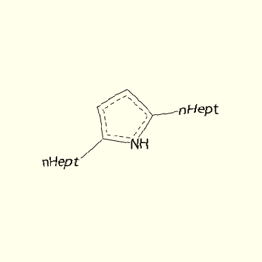 CCCCCCCc1ccc(CCCCCCC)[nH]1